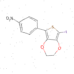 O=[N+]([O-])c1ccc(-c2sc(I)c3c2OCCO3)cc1